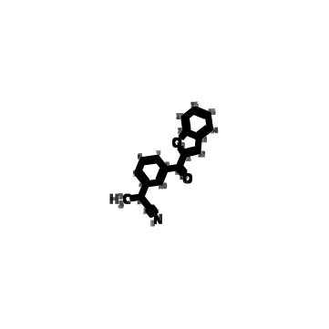 CC(C#N)c1cccc(C(=O)c2cc3ccccc3o2)c1